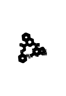 Nc1nc(NC2Cc3ccccc3N(C(=O)COc3ccccc3)C2)c2cn[nH]c2n1